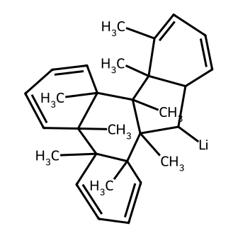 [Li][CH]1C2C=CC=C(C)C2(C)C2(C)C3(C)C=CC=CC3(C)C3(C)C=CC=CC3(C)C12C